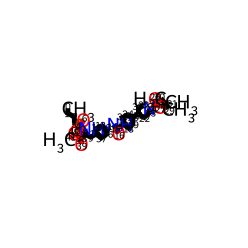 CCCCS(=O)(=O)NC(Cc1ccc(NC(=O)c2ccc(C3CCN(C(=O)OC(C)(C)C)CC3)cc2)cc1)C(=O)OC